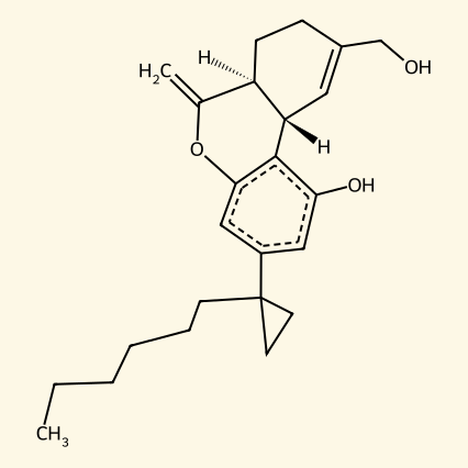 C=C1Oc2cc(C3(CCCCCC)CC3)cc(O)c2[C@H]2C=C(CO)CC[C@H]12